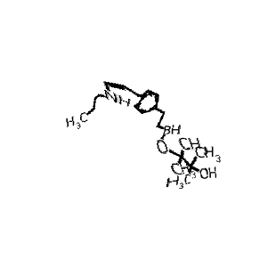 CCCN/C=C\c1ccc(CCBOC(C)(C)C(C)(C)O)cc1